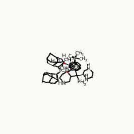 C[Si](C)(C)[C]12[CH]3[C]4(C(P)(C5CNCCN5)C5CNCCN5)[C]5(CP(C6C7CC8CC(C7)CC6C8)C6C7CC8CC(C7)CC6C8)[C]1([Si](C)(C)C)[Fe]35421678[CH]2[CH]1[CH]6[CH]7[CH]28